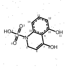 O=S(=O)(O)N1CC=C(O)c2c(O)cccc21